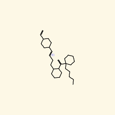 C=CC1CCC(/C=C/CCC2CCCCC2C(=C)C2(CCCCC)CCCCC2)CC1